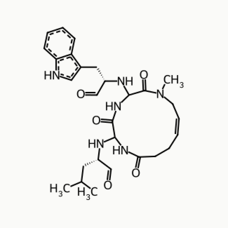 CC(C)C[C@@H](C=O)NC1NC(=O)CCC=CCN(C)C(=O)C(N[C@H](C=O)Cc2c[nH]c3ccccc23)NC1=O